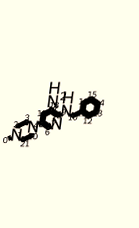 CN1CCN(c2cnc(NCc3ccccc3)c(N)c2)CC1